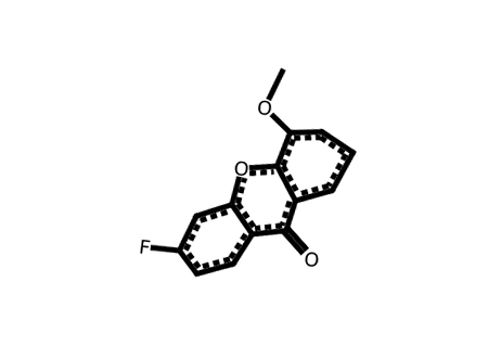 COc1cccc2c(=O)c3ccc(F)cc3oc12